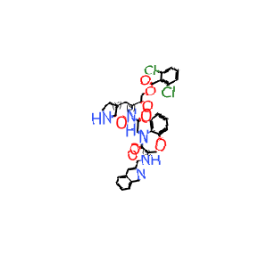 O=C(CN1C(=O)[C@@H](NC(=O)c2cc3ccccc3cn2)COc2ccccc21)N[C@@H](C[C@@H]1CCNC1=O)C(=O)COC(=O)c1c(Cl)cccc1Cl